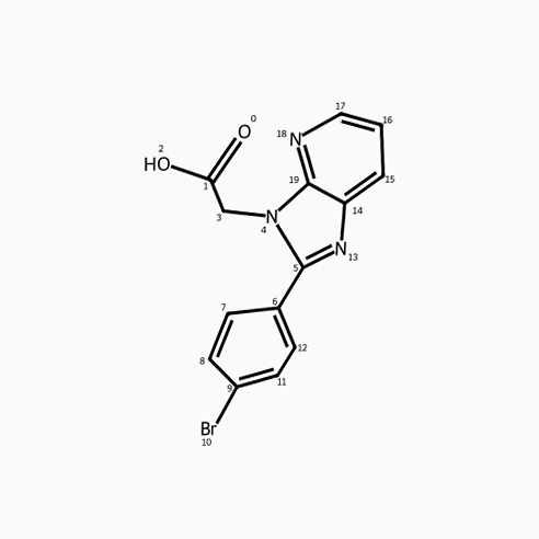 O=C(O)Cn1c(-c2ccc(Br)cc2)nc2cccnc21